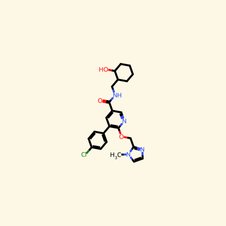 Cn1ccnc1COc1ncc(C(=O)NCC2CCCCC2O)cc1-c1ccc(Cl)cc1